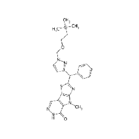 Cn1c2nc(C(c3ccccc3)c3ccn(COCC[Si](C)(C)C)n3)sc2c2cn[nH]c(=O)c21